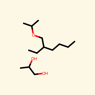 CC(O)CO.CCCCC(CC)COC(C)C